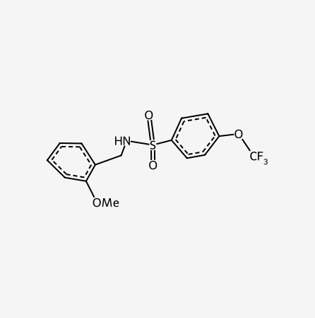 COc1ccccc1CNS(=O)(=O)c1ccc(OC(F)(F)F)cc1